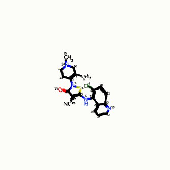 CC1=C(n2sc(Nc3c(Cl)ccc4ncccc34)c(C#N)c2=O)CCN(C)C1